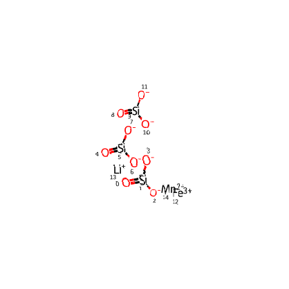 O=[Si]([O-])[O-].O=[Si]([O-])[O-].O=[Si]([O-])[O-].[Fe+3].[Li+].[Mn+2]